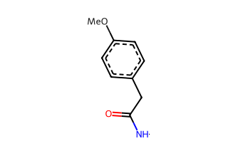 COc1ccc(CC([NH])=O)cc1